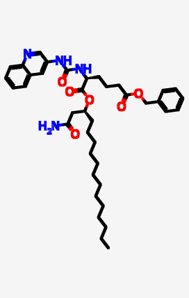 CCCCCCCCCCCCC[C@@H](CC(N)=O)OC(=O)[C@H](CCCC(=O)OCc1ccccc1)NC(=O)Nc1cnc2ccccc2c1